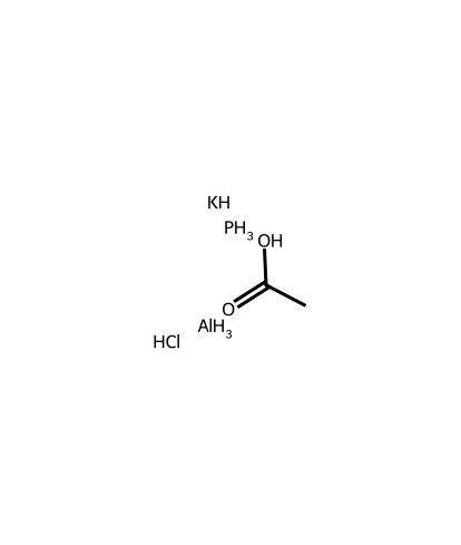 CC(=O)O.Cl.P.[AlH3].[KH]